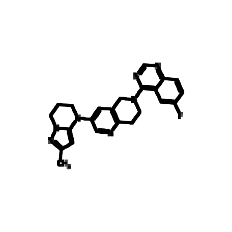 Cc1cc2n(n1)CCCN2c1cnc2c(c1)CN(c1ncnc3ccc(F)cc13)CC2